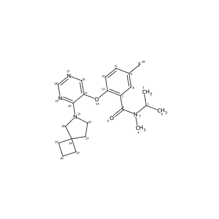 CC(C)N(C)C(=O)c1cc(F)ccc1Oc1cncnc1N1CCC2(CCC2)C1